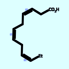 CC/C=C\C/C=C\C/C=C\CC(=O)O